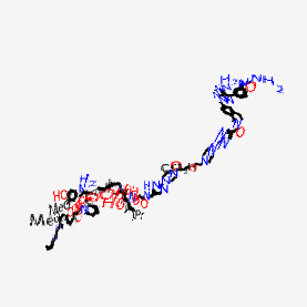 C=C/C=C/C=C(\C)[C@H](C[C@@H]1CC[C@@H](C)[C@](O)(C(=O)C(=O)N2CCCC[C@H]2C(=O)O[C@@H](C[C@@H](O)[C@H](C)/C=C(\C)[C@@H](O)[C@@H](O)/C(=N/OCC(=O)NCc2cnc(N3CCN(C(=O)CCOCCN4CCN(c5ncc(C(=O)N6CCc7cc(Cn8nc(-c9ccc%10oc(N)nc%10c9)c9c(N)ncnc98)ccc7C6)cn5)CC4)[C@@H](C(=O)O)C3)nc2)[C@H](C)CC(C)C)[C@H](N)C[C@@H]2CC[C@@H](O)[C@H](OC)C2)O1)OC